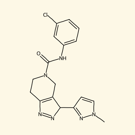 Cn1ccc(C2N=NC3=C2CN(C(=O)Nc2cccc(Cl)c2)CC3)n1